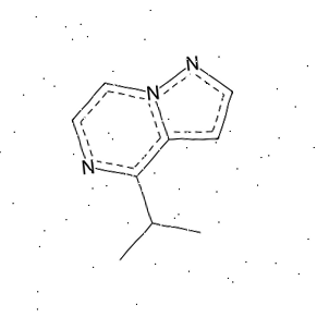 CC(C)c1nccn2nccc12